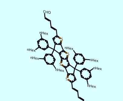 CCCCCCc1cc(CCCCCC)cc(C2(c3cc(CCCCCC)cc(CCCCCC)c3)c3cc(/C=C/C=C/C=O)sc3-c3sc4c5c(sc4c32)-c2sc(/C=C/C=C/C=O)cc2C5(c2cc(CCCCCC)cc(CCCCCC)c2)c2cc(CCCCCC)cc(CCCCCC)c2)c1